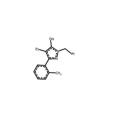 CCc1c(-c2ccccc2C)nn(CC(C)C)c1O